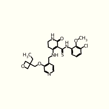 CCC1(COc2cnccc2CNC2=C(C(=S)Nc3cccc(Cl)c3OC)C(=O)NCC2)COC1